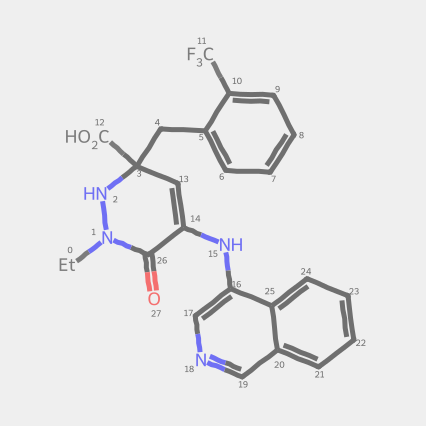 CCN1NC(Cc2ccccc2C(F)(F)F)(C(=O)O)C=C(Nc2cncc3ccccc23)C1=O